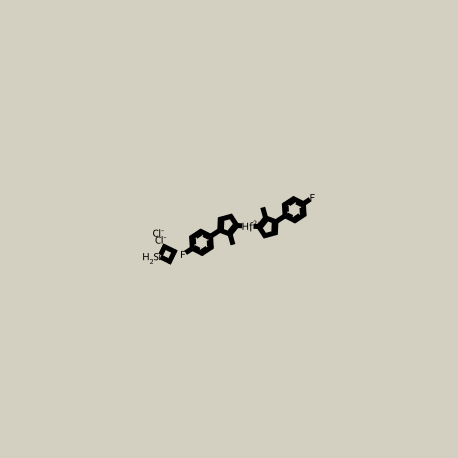 C1C[SiH2]C1.CC1=[C]([Hf+2][C]2=C(C)C(c3ccc(F)cc3)=CC2)CC=C1c1ccc(F)cc1.[Cl-].[Cl-]